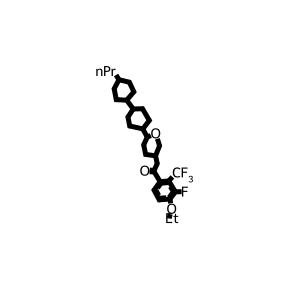 CCCC1CCC(C2CCC(C3CCC(CC(=O)c4ccc(OCC)c(F)c4C(F)(F)F)CO3)CC2)CC1